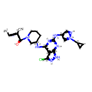 CC(C)/C=C(\C#N)C(=O)N1CCC[C@@H](Nc2nc(Nc3cnn(C4CC4)c3)nc3[nH]nc(Cl)c23)C1